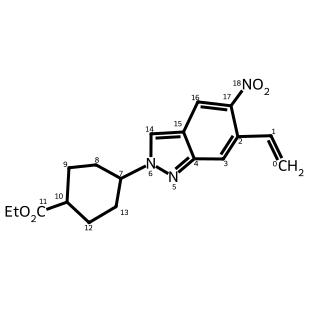 C=Cc1cc2nn(C3CCC(C(=O)OCC)CC3)cc2cc1[N+](=O)[O-]